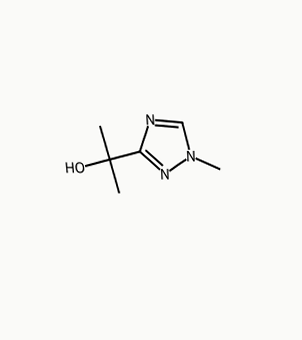 Cn1cnc(C(C)(C)O)n1